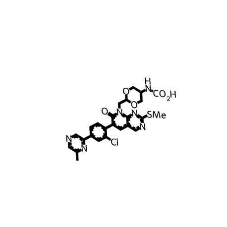 CSc1ncc2cc(-c3ccc(-c4cncc(C)n4)cc3Cl)c(=O)n(CC3OCC(NC(=O)O)CO3)c2n1